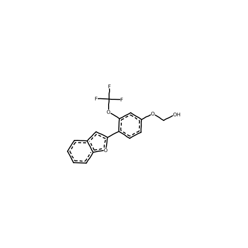 OCOc1ccc(-c2cc3ccccc3o2)c(OC(F)(F)F)c1